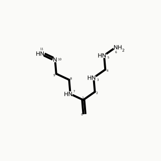 C=C(CNCNN)NCCN=N